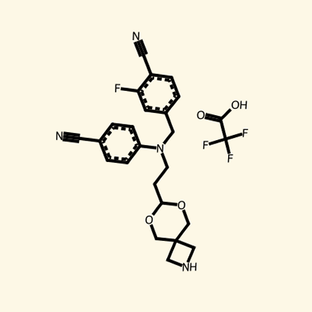 N#Cc1ccc(N(CCC2OCC3(CNC3)CO2)Cc2ccc(C#N)c(F)c2)cc1.O=C(O)C(F)(F)F